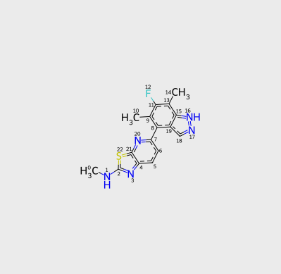 CNc1nc2ccc(-c3c(C)c(F)c(C)c4[nH]ncc34)nc2s1